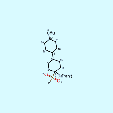 CCCCCC1(S(C)(=O)=O)CCC(C2CCC(CCCC)CC2)CC1